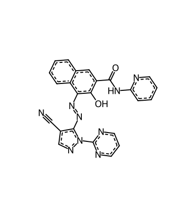 N#Cc1cnn(-c2ncccn2)c1/N=N/c1c(O)c(C(=O)Nc2ccccn2)cc2ccccc12